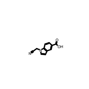 N#CCn1ccc2cc(C(=O)O)ccc21